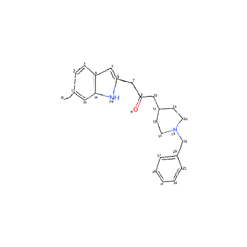 Cc1ccc2cc(CC(=O)CC3CCN(Cc4ccccc4)CC3)[nH]c2c1